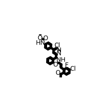 COC(=O)Nc1ccc(-c2cc(C(NC(=O)/C=C/c3c(C(C)=O)ccc(Cl)c3F)c3ccccc3)nnc2Cl)cc1